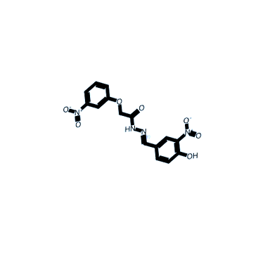 O=C(COc1cccc([N+](=O)[O-])c1)N/N=C/c1ccc(O)c([N+](=O)[O-])c1